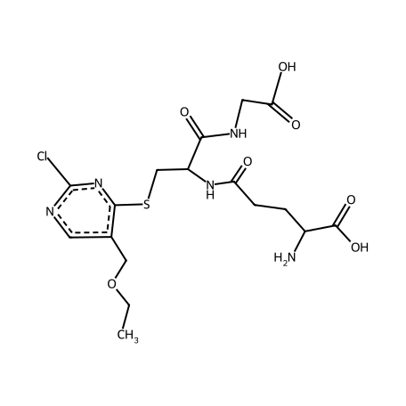 CCOCc1cnc(Cl)nc1SCC(NC(=O)CCC(N)C(=O)O)C(=O)NCC(=O)O